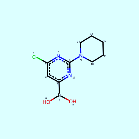 OB(O)c1cc(Cl)nc(N2CCCCC2)n1